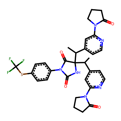 CC(c1ccnc(N2CCCC2=O)c1)C1(C(C)c2ccnc(N3CCCC3=O)c2)NC(=O)N(c2ccc(SC(F)(F)F)cc2)C1=O